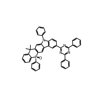 CC1(C)c2ccccc2P(=O)(c2ccccc2)c2cc3c4cc(-c5nc(-c6ccccc6)nc(-c6ccccc6)n5)ccc4n(-c4ccccc4)c3cc21